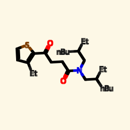 CCCCC(CC)CN(CC(CC)CCCC)C(=O)CCC(=O)c1sccc1CC